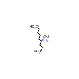 CCCCCCCCN.O=C(O)CCCCCCCC(=O)O